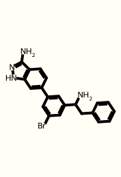 Nc1n[nH]c2cc(-c3cc(Br)cc(C(N)Cc4ccccc4)c3)ccc12